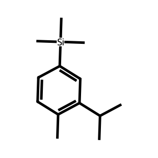 Cc1ccc([Si](C)(C)C)cc1C(C)C